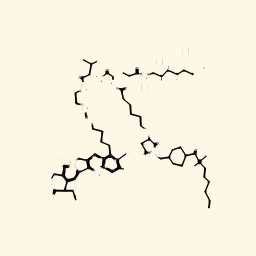 CCCCCCC(C)(C)C(=O)C1CCC(CN2C(=O)CC(SCCCCCC(=O)N[C@@H](CCC(=O)NC[C@H](O)[C@@H](O)[C@H](O)[C@H](O)CO)C(=O)N[C@H](C(=O)N[C@@H](C)C(=O)NCOCCCCc3c(C)c(F)cc4nc5c(cc34)Cn3c-5cc4c(c3=O)COC(=O)[C@]4(O)CC)C(C)C)C2=O)CC1